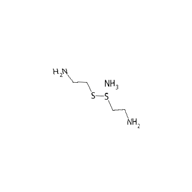 N.NCCSSCCN